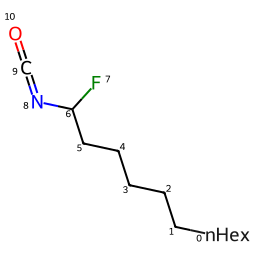 CCCCCCCCCCCC(F)N=C=O